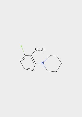 O=C(O)c1c(N2CCCCC2)[c]ccc1F